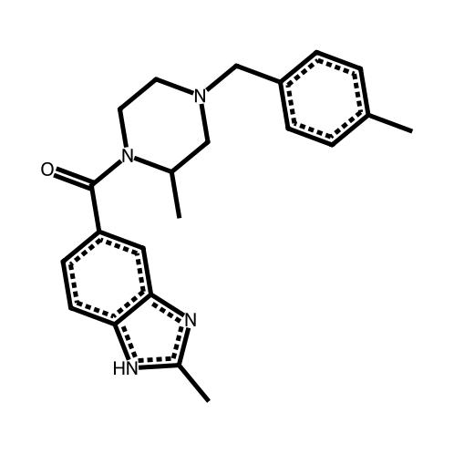 Cc1ccc(CN2CCN(C(=O)c3ccc4[nH]c(C)nc4c3)C(C)C2)cc1